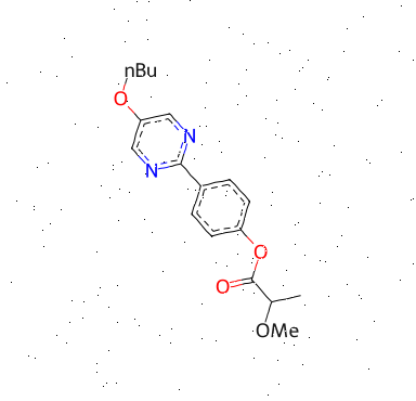 CCCCOc1cnc(-c2ccc(OC(=O)C(C)OC)cc2)nc1